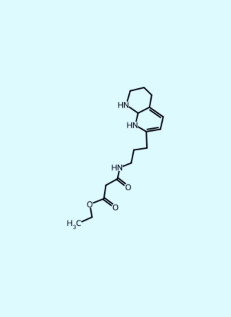 CCOC(=O)CC(=O)NCCCC1=CC=C2CCCNC2N1